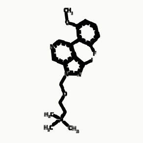 COc1cccc(F)c1-c1cncc2c1c(I)nn2COCC[Si](C)(C)C